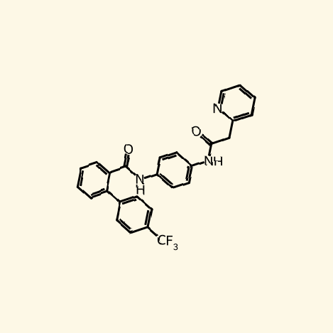 O=C(Cc1ccccn1)Nc1ccc(NC(=O)c2ccccc2-c2ccc(C(F)(F)F)cc2)cc1